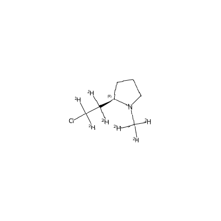 [2H]C([2H])([2H])N1CCC[C@@H]1C([2H])([2H])C([2H])([2H])Cl